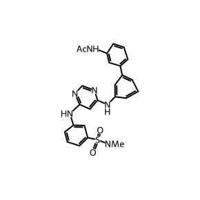 CNS(=O)(=O)c1cccc(Nc2cc(Nc3cccc(-c4cccc(NC(C)=O)c4)c3)ncn2)c1